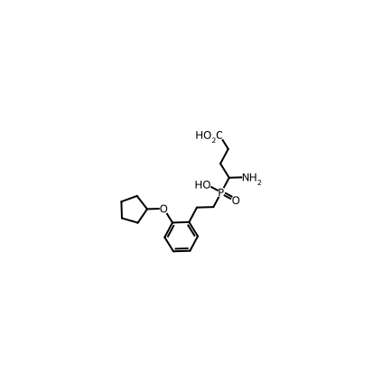 NC(CCC(=O)O)P(=O)(O)CCc1ccccc1OC1CCCC1